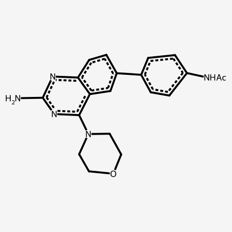 CC(=O)Nc1ccc(-c2ccc3nc(N)nc(N4CCOCC4)c3c2)cc1